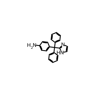 Nc1ccc(C(c2ccccc2)(c2ccccc2)c2ncc[nH]2)cc1